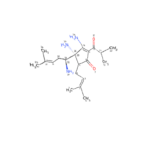 CC(C)=CCC1C(=O)C(C(=O)C(C)C)=C(N)[C@]1(N)[C@@H](N)CC=C(C)C